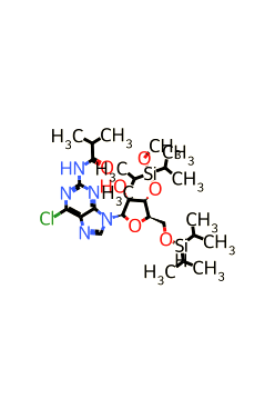 CO[Si](O[C@H]1[C@@H](O)[C@H](n2cnc3c(Cl)nc(NC(=O)C(C)C)nc32)O[C@@H]1CO[SiH](C(C)C)C(C)C)(C(C)C)C(C)C